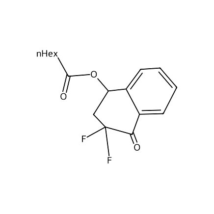 CCCCCCC(=O)OC1CC(F)(F)C(=O)c2ccccc21